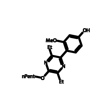 CCCCCOc1nc(CC)c(-c2ccc(O)cc2OC)nc1CC